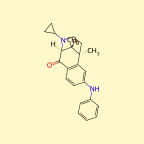 C[C@H]1[C@H]2C(=O)c3ccc(Nc4ccccc4)cc3[C@]1(C)CCN2C1CC1